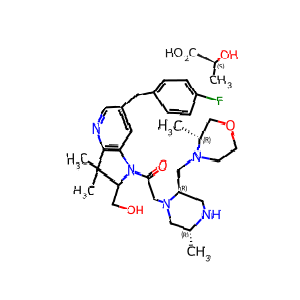 C[C@@H]1CN(CC(=O)N2c3cc(Cc4ccc(F)cc4)cnc3C(C)(C)C2CO)[C@@H](CN2CCOC[C@H]2C)CN1.C[C@H](O)C(=O)O